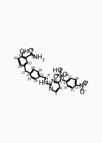 C[C@H](Nc1nccc(N(c2ccc([N+](=O)[O-])cc2)S(=O)(=O)O)n1)c1ccc(Cc2ccc(O)c(C(N)=O)c2)cc1